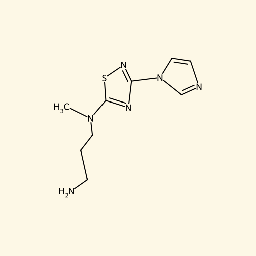 CN(CCCN)c1nc(-n2ccnc2)ns1